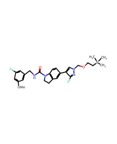 COc1cc(F)cc(CNC(=O)N2CCc3cc(-c4cn(COCC[Si](C)(C)C)nc4F)ccc32)c1